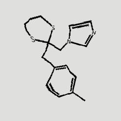 Cc1ccc(CC2(Cn3ccnc3)SCCS2)cc1